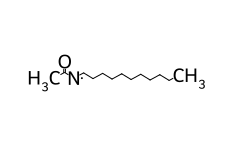 CCCCCCCCCCC[N]C(C)=O